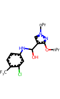 CCCOc1nn(CCC)cc1C(O)Nc1ccc(C(F)(F)F)c(Cl)c1